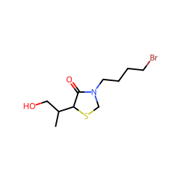 CC(CO)C1SCN(CCCCBr)C1=O